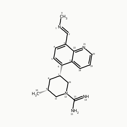 C/N=C/c1ccc([C@H]2C[C@@H](C)CN(C(=N)N)C2)c2cccnc12